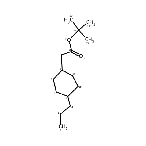 CCCC1CCC(CC(=O)OC(C)(C)C)CC1